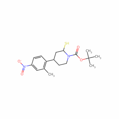 Cc1cc([N+](=O)[O-])ccc1C1CCN(C(=O)OC(C)(C)C)C(S)C1